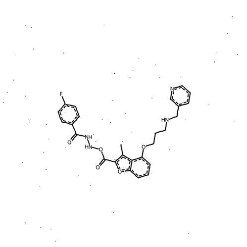 Cc1c(C(=O)ONNC(=O)c2ccc(F)cc2)oc2cccc(OCCCNCc3cccnc3)c12